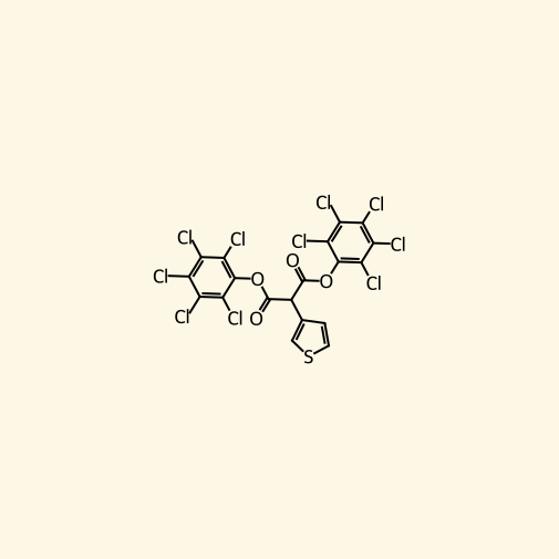 O=C(Oc1c(Cl)c(Cl)c(Cl)c(Cl)c1Cl)C(C(=O)Oc1c(Cl)c(Cl)c(Cl)c(Cl)c1Cl)c1ccsc1